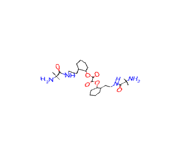 CC(C)(N)C(=O)NCCC1CCCCC1OC(=O)C(=O)OC1CCCCC1CCNC(=O)C(C)(C)N